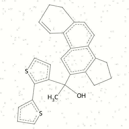 CC(O)(c1ccsc1-c1cccs1)c1cc2c3c(ccc2c2c1CCC2)CCC=C3